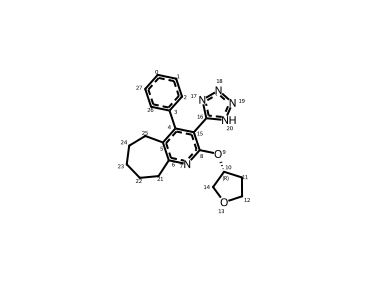 c1ccc(-c2c3c(nc(O[C@@H]4CCOC4)c2-c2nnn[nH]2)CCCCC3)cc1